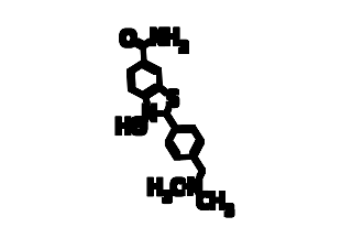 CN(C)Cc1ccc(C2Sc3cc(C(N)=O)ccc3N2O)cc1